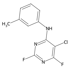 Cc1cccc(Nc2nc(F)nc(F)c2Cl)c1